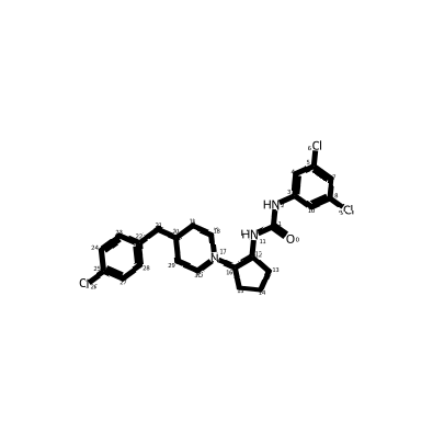 O=C(Nc1cc(Cl)cc(Cl)c1)NC1CCCC1N1CCC(Cc2ccc(Cl)cc2)CC1